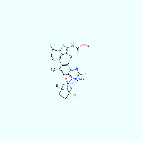 CC(C)(C)OC(=O)Nc1sc2c(F)ccc(-c3c(C(F)(F)F)cc4c(N5C[C@H]6CC[C@@H](C5)N6C(=O)OC(C)(C)C)nc(F)nc4c3F)c2c1I